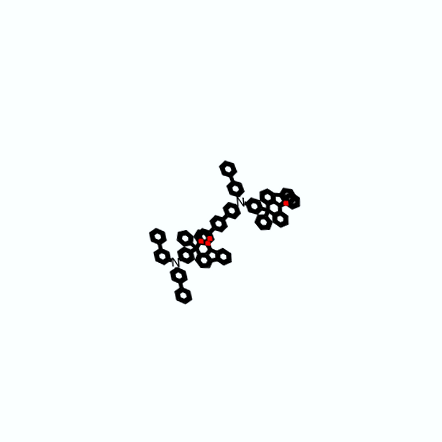 c1ccc(-c2ccc(N(c3ccc(-c4ccc(-c5cccc(C67c8ccccc8-c8cccc(c86)C(c6ccccc6)(c6ccc(N(c8ccc(-c9ccccc9)cc8)c8cccc(-c9ccccc9)c8)cc6)c6ccccc67)c5)cc4)cc3)c3ccc(C4(c5ccccc5)c5ccccc5C5(c6ccccc6)c6ccccc6-c6cccc4c65)cc3)cc2)cc1